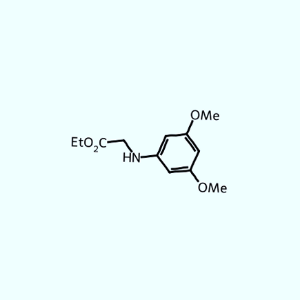 CCOC(=O)CNc1cc(OC)cc(OC)c1